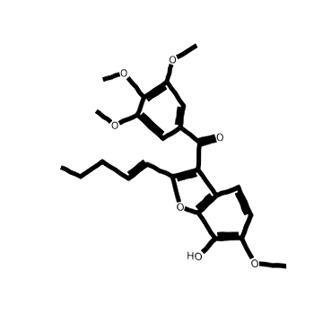 CCC/C=C/c1oc2c(O)c(OC)ccc2c1C(=O)c1cc(OC)c(OC)c(OC)c1